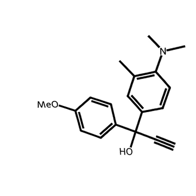 C#CC(O)(c1ccc(OC)cc1)c1ccc(N(C)C)c(C)c1